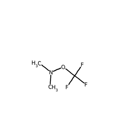 CN(C)OC(F)(F)F